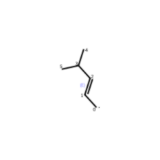 [CH2]/C=C/C(C)C